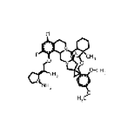 COc1ccc(COC(=O)[C@@]2(C)CCCCC2C(=O)N2CCc3c(Cl)cc(F)c(OC/C(N)=C4\CCCN4N)c3C2CN2CC3(CC3)CC2=O)c(OC)c1